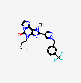 CCCn1c(=O)n2ccnc2c2c1nc(-c1cnn(Cc3cccc(C(F)(F)F)c3)c1)n2C